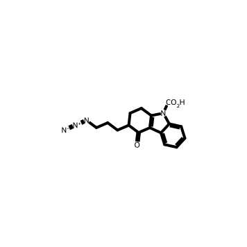 [N-]=[N+]=NCCCC1CCc2c(c3ccccc3n2C(=O)O)C1=O